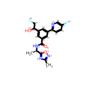 Cc1noc([C@@H](C)NC(=O)c2cc(-c3ccc(F)cn3)cc(C(O)CF)c2)n1